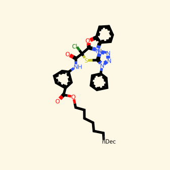 CCCCCCCCCCCCCCCCOC(=O)c1cccc(NC(=O)C(Cl)(Sc2nnnn2-c2ccccc2)c2nc3ccccc3o2)c1